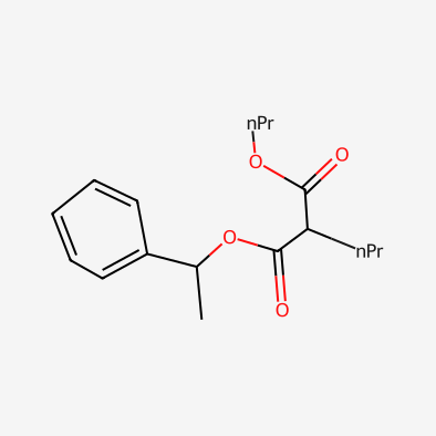 CCCOC(=O)C(CCC)C(=O)OC(C)c1ccccc1